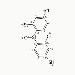 [O-][S+](c1ccc(Cl)cc1S)c1ccc(S)cc1Cl